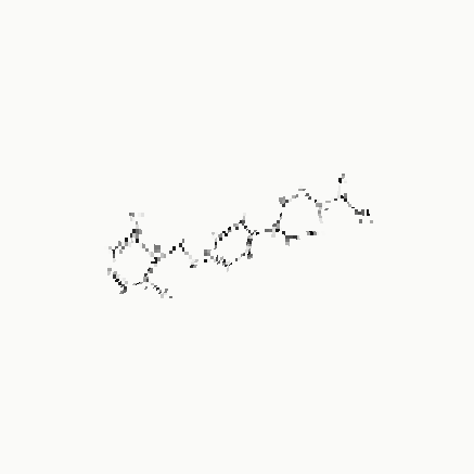 NC(=O)N1CCN(c2ncc(OCc3c(Cl)cccc3C(F)(F)F)cn2)CC1